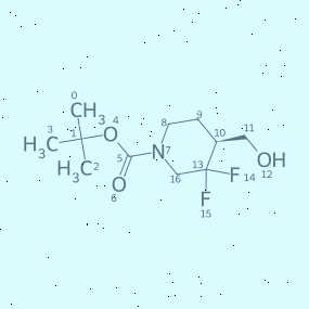 CC(C)(C)OC(=O)N1CC[C@@H](CO)C(F)(F)C1